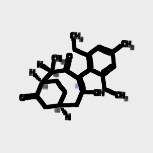 CCc1cc(C)cc(CC)c1/C1=C(\O)C[C@@H]2CC[C@@H](C(=O)C2)[C@H](C)C1=O